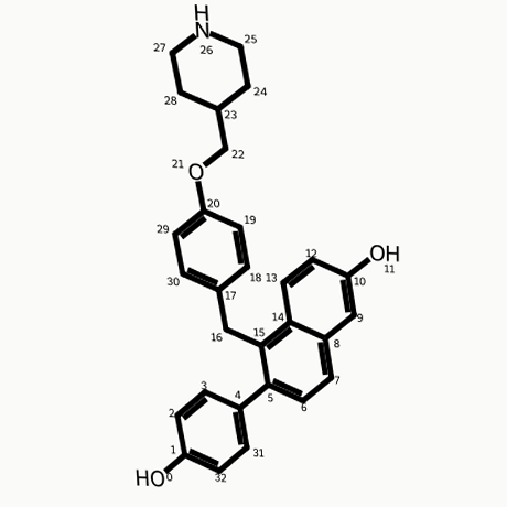 Oc1ccc(-c2ccc3cc(O)ccc3c2Cc2ccc(OCC3CCNCC3)cc2)cc1